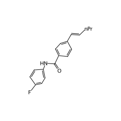 CCC/C=C/c1ccc(C(=O)Nc2ccc(F)cc2)cc1